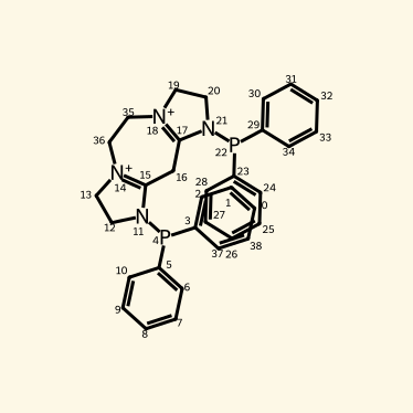 c1ccc(P(c2ccccc2)N2CC[N+]3=C2CC2=[N+](CCN2P(c2ccccc2)c2ccccc2)CC3)cc1